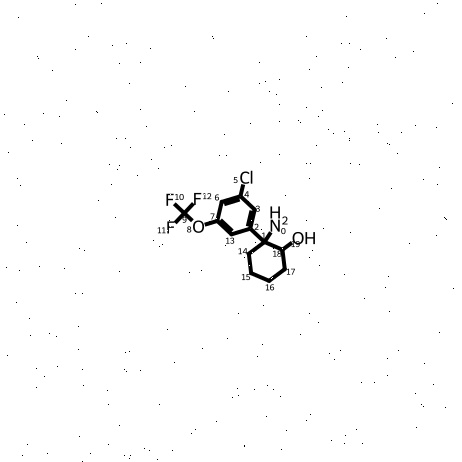 NC1(c2cc(Cl)cc(OC(F)(F)F)c2)CCCCC1O